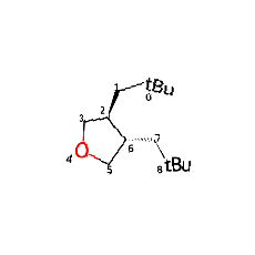 CC(C)(C)C[C@@H]1COC[C@H]1CC(C)(C)C